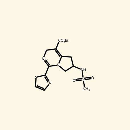 CCOC(=O)C1=C2CC(NS(C)(=O)=O)CN2C(c2nccs2)=NC1